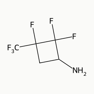 NC1CC(F)(C(F)(F)F)C1(F)F